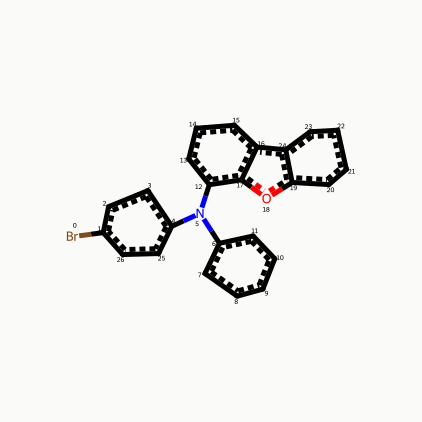 Brc1ccc(N(c2ccccc2)c2cccc3c2oc2ccccc23)cc1